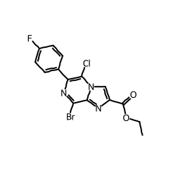 CCOC(=O)c1cn2c(Cl)c(-c3ccc(F)cc3)nc(Br)c2n1